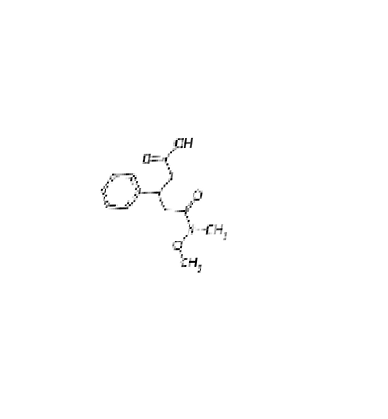 CON(C)C(=O)CC(CC(=O)O)c1ccccc1